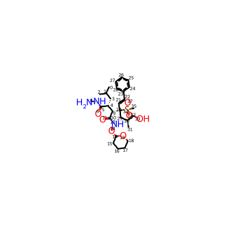 CC(C)C[C@@H](C(=O)NN)[C@@H](C(=O)NOC1CCCCO1)C(/C=C/c1ccccc1)(C[C@H](C)CO)S(C)(=O)=O